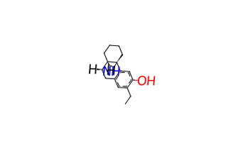 CCc1cc2c(cc1O)[C@@]13CCCC[C@H]1[C@@H](C2)NCC3